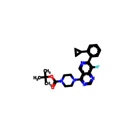 CC(C)(C)OC(=O)N1CCN(c2ncnc3c(F)c(-c4ccccc4C4CC4)ncc23)CC1